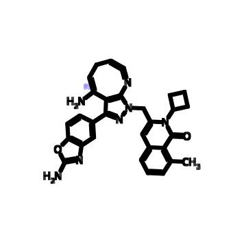 Cc1cccc2cc(Cn3nc(-c4ccc5oc(N)nc5c4)c4c3N=C=CC/C=C\4N)n(C3CCC3)c(=O)c12